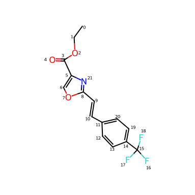 CCOC(=O)c1coc(C=Cc2ccc(C(F)(F)F)cc2)n1